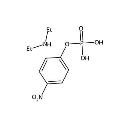 CCNCC.O=[N+]([O-])c1ccc(OP(=O)(O)O)cc1